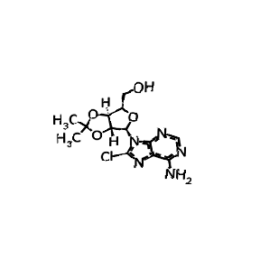 CC1(C)O[C@@H]2[C@@H](O1)[C@@H](CO)O[C@H]2n1c(Cl)nc2c(N)ncnc21